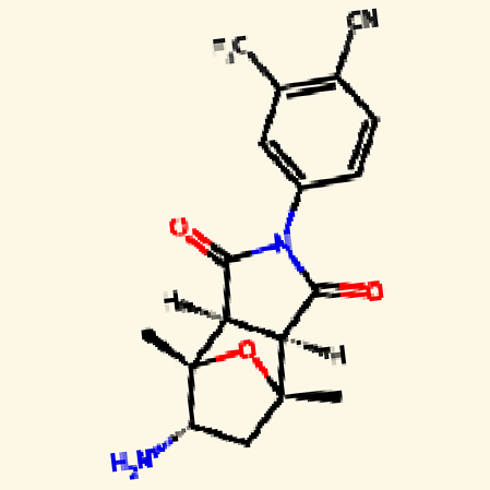 C[C@@]12O[C@@](C)(C[C@@H]1N)[C@@H]1C(=O)N(c3ccc(C#N)c(C(F)(F)F)c3)C(=O)[C@@H]12